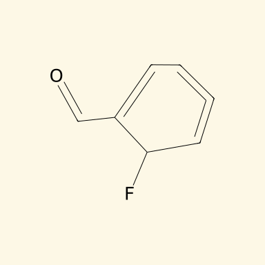 O=CC1=CC=C=CC1F